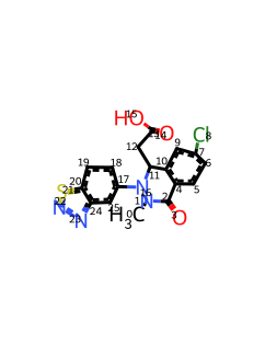 CN1C(=O)c2ccc(Cl)cc2C(CC(=O)O)N1c1ccc2snnc2c1